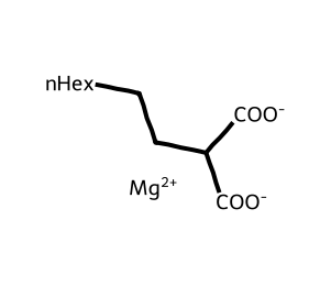 CCCCCCCCC(C(=O)[O-])C(=O)[O-].[Mg+2]